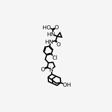 O=C(O)NC1(C(=O)Nc2ccc(CC3CCN(C4C5CC6CC4CC(O)(C6)C5)C3=O)c(Cl)c2)CC1